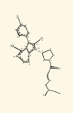 CN(C)CC=CC(=O)N1CC[C@@H](n2c(Cl)c(-c3ccc(Cl)cc3)c3c(N)ncnc32)C1